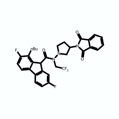 CCCCc1c(F)ccc2c1C(C(=O)N(CC(F)(F)F)N1CCC(N3C(=O)c4ccccc4C3=O)C1)c1cc(F)ccc1-2